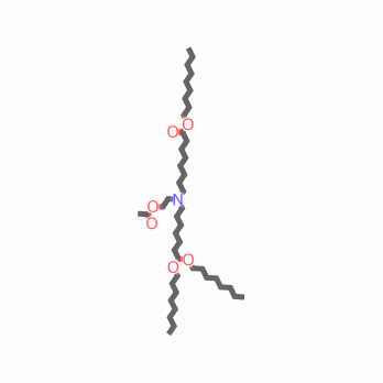 CCCCCCCCCOC(=O)CCCCCCCN(CCCCCCC(OCCCCCCCC)OCCCCCCCC)CCOC(C)=O